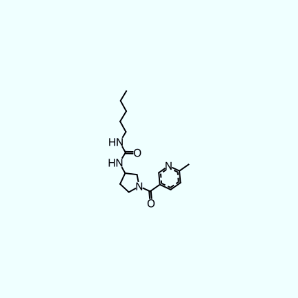 CCCCCNC(=O)NC1CCN(C(=O)c2ccc(C)nc2)C1